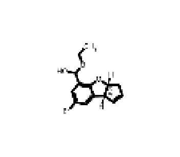 CCOC(O)c1cc(Br)cc2c1O[C@@H]1CC=C[C@H]21